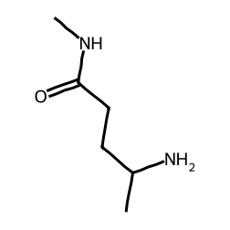 CNC(=O)CCC(C)N